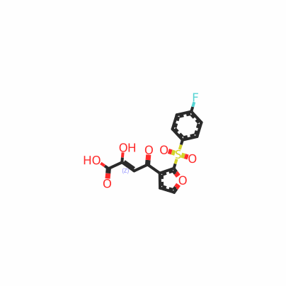 O=C(O)/C(O)=C/C(=O)c1ccoc1S(=O)(=O)c1ccc(F)cc1